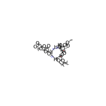 C=CCOC(=O)O[C@@H]1C(C)=C[C@H]2C(=O)O[C@H]3C[C@@H](C/C=C(\C)[C@@H](O[C@H]4C[C@H](OC)[C@@H](O[C@H]5C[C@H](OC)C(=O)[C@H](C)O5)[C@H](C)O4)[C@@H](C)/C=C/C=C4\CO[C@H]1[C@@]42O)OC1(C=C[C@H](C)[C@@H]([C@@H](C)CC)O1)C3